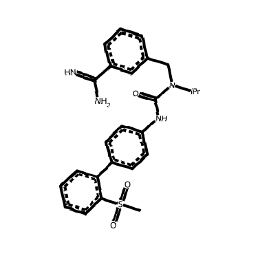 CC(C)N(Cc1cccc(C(=N)N)c1)C(=O)Nc1ccc(-c2ccccc2S(C)(=O)=O)cc1